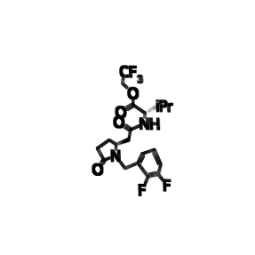 CC(C)[C@H](NC(=O)C[C@@H]1CCC(=O)N1Cc1cccc(F)c1F)C(=O)OCC(F)(F)F